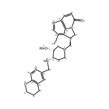 CO[C@@H]1CN(C[C@@H]2Cn3c(=O)ccc4ncc(F)c2c43)CC[C@@H]1NCc1cc2c(cn1)OCCC2